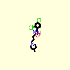 CC1CCN(CCCc2nc(-c3ccc(Cl)cc3Cl)no2)CC1